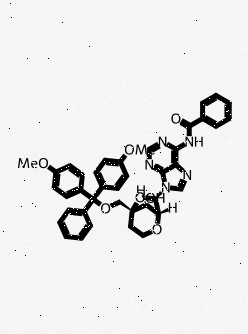 COc1ccc(C(OC[C@@]23CCO[C@@H]([C@H](n4cnc5c(NC(=O)c6ccccc6)ncnc54)O2)[C@@H]3O)(c2ccccc2)c2ccc(OC)cc2)cc1